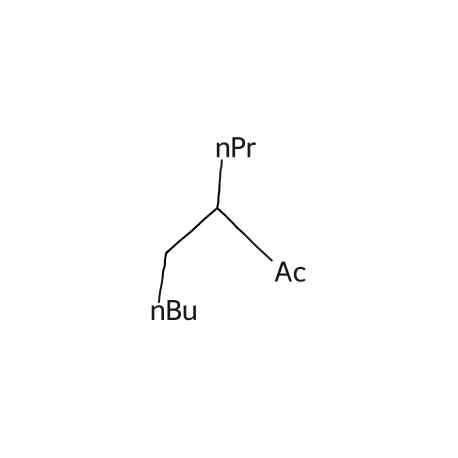 CCCCCC(CCC)C(C)=O